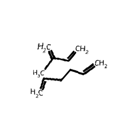 C=CC(=C)C.C=CCCC=C